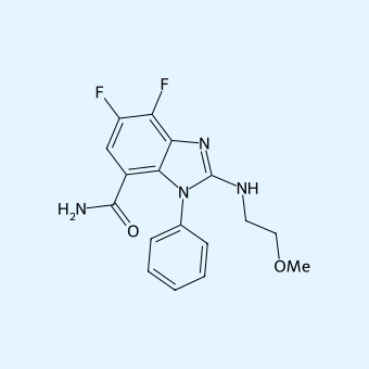 COCCNc1nc2c(F)c(F)cc(C(N)=O)c2n1-c1ccccc1